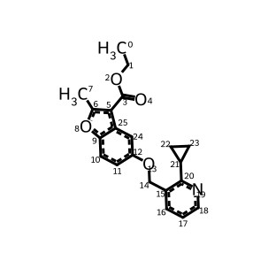 CCOC(=O)c1c(C)oc2ccc(OCc3cccnc3C3CC3)cc12